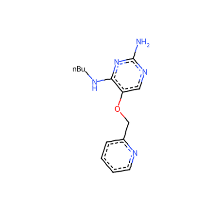 CCCCNc1nc(N)ncc1OCc1ccccn1